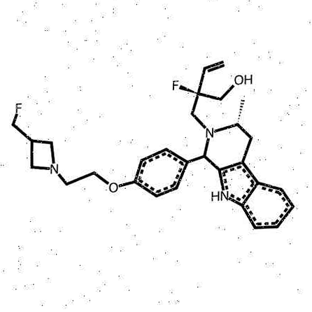 C=C[C@](F)(CO)CN1C(c2ccc(OCCN3CC(CF)C3)cc2)c2[nH]c3ccccc3c2C[C@H]1C